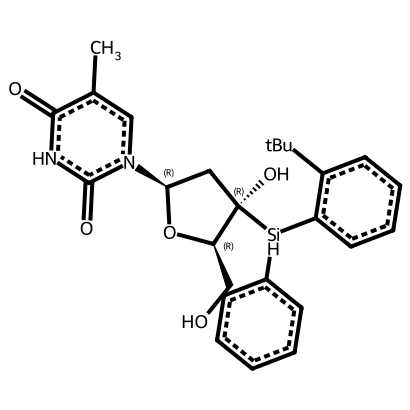 Cc1cn([C@H]2C[C@@](O)([SiH](c3ccccc3)c3ccccc3C(C)(C)C)[C@@H](CO)O2)c(=O)[nH]c1=O